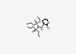 CCOP(=O)(OCC)C(Nc1cccnc1Cl)P(=O)(OCC)OCC